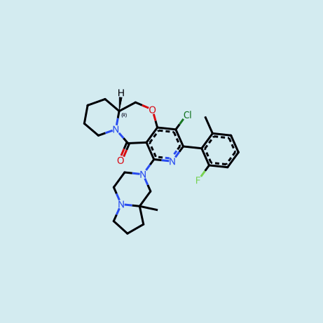 Cc1cccc(F)c1-c1nc(N2CCN3CCCC3(C)C2)c2c(c1Cl)OC[C@H]1CCCCN1C2=O